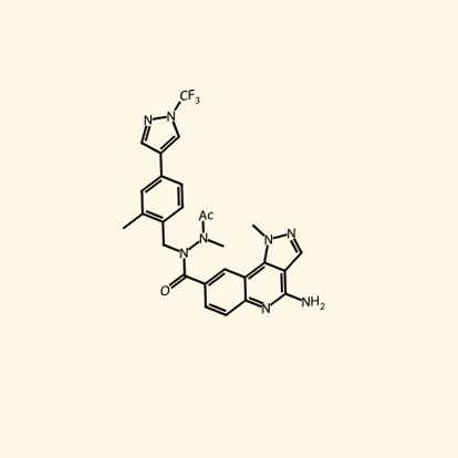 CC(=O)N(C)N(Cc1ccc(-c2cnn(C(F)(F)F)c2)cc1C)C(=O)c1ccc2nc(N)c3cnn(C)c3c2c1